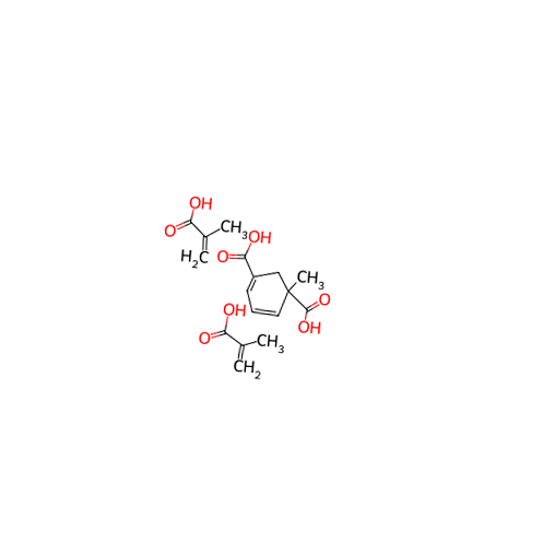 C=C(C)C(=O)O.C=C(C)C(=O)O.CC1(C(=O)O)C=CC=C(C(=O)O)C1